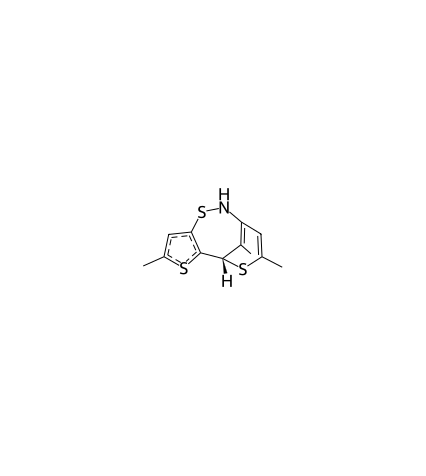 CC1=CC2=C(C)[C@H](S1)c1sc(C)cc1SN2